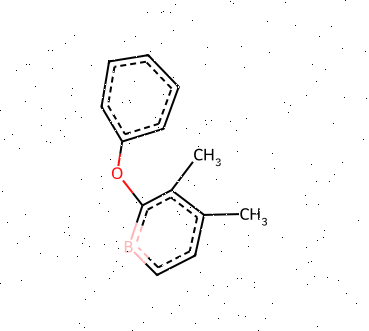 Cc1ccbc(Oc2ccccc2)c1C